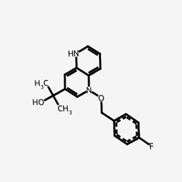 CC(C)(O)C1=CN(OCc2ccc(F)cc2)C2=CC=CNC2=C1